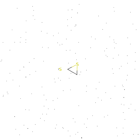 C1CS1.[S]